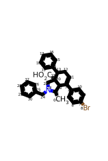 CC1C2C(c3ccc(Br)cc3)=CCC(c3ccccc3)C2(C(=O)O)CN1Cc1ccccc1